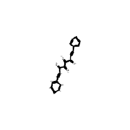 O=C(C#Cc1ccccc1)C(=O)C(=O)C(=O)C#Cc1ccccc1